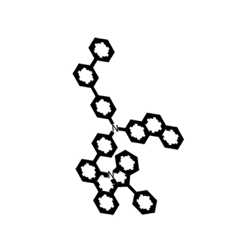 c1ccc(-c2cccc(-c3ccc(N(c4ccc(-c5cccc6c7ccccc7c7c(-c8ccccc8)c8ccccc8n7c56)cc4)c4ccc5c(ccc6ccccc65)c4)cc3)c2)cc1